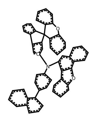 c1ccc2c(c1)Oc1ccccc1C21c2ccccc2-c2ccc(N(c3ccc(-c4cccc5ccccc45)cc3)c3cc4ccccc4c4oc5ccccc5c34)cc21